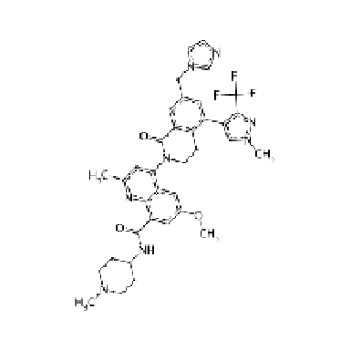 COc1cc(C(=O)NC2CCN(C)CC2)c2nc(C)cc(N3CCc4c(cc(Cn5ccnc5)cc4-c4cn(C)nc4C(F)(F)F)C3=O)c2c1